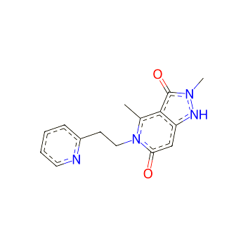 Cc1c2c(=O)n(C)[nH]c2cc(=O)n1CCc1ccccn1